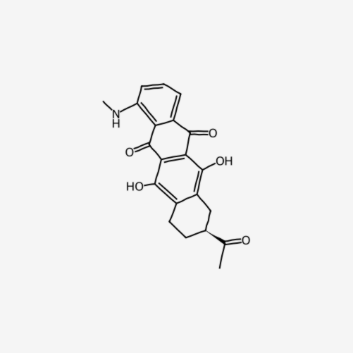 CNc1cccc2c1C(=O)c1c(O)c3c(c(O)c1C2=O)C[C@@H](C(C)=O)CC3